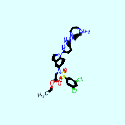 CCOC(=O)CN(c1ccc2c(ccn2-c2ccc(N3CCCNCC3)nn2)c1)S(=O)(=O)C1C=C(Cl)C=C(Cl)C1